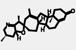 CC1=C2C[C@H]3[C@@H](CCC4=CC(=O)CC[C@@]43C)[C@@H]2CC[C@@]2(C1)O[C@@H]1C[C@H](C)CN=C1[C@H]2C